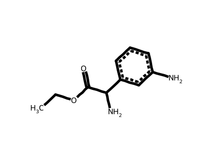 CCOC(=O)C(N)c1cccc(N)c1